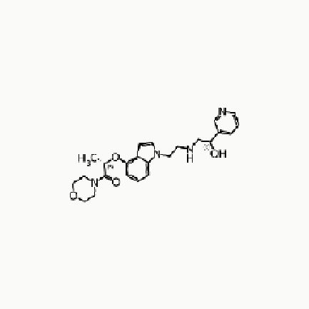 C[C@H](Oc1cccc2c1ccn2CCNC[C@H](O)c1cccnc1)C(=O)N1CCOCC1